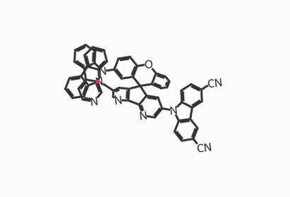 N#Cc1ccc2c(c1)c1cc(C#N)ccc1n2-c1cnc2c(c1)C1(c3ccccc3Oc3ccc(-n4c5ccccc5c5ccncc54)cc31)c1cc(-n3c4ccccc4c4ccccc43)cnc1-2